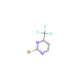 FC(F)(F)c1[c]cnc(Br)n1